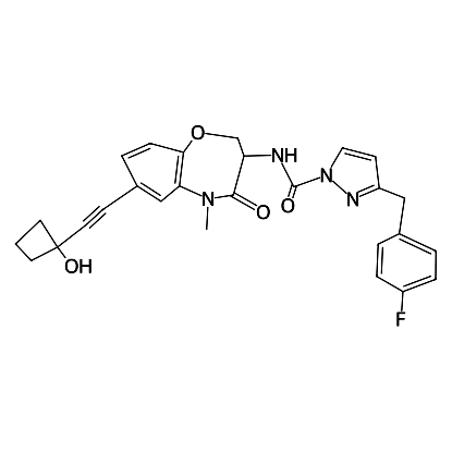 CN1C(=O)C(NC(=O)n2ccc(Cc3ccc(F)cc3)n2)COc2ccc(C#CC3(O)CCC3)cc21